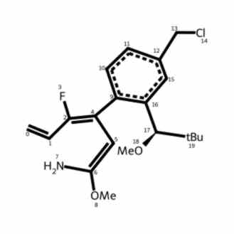 C=C/C(F)=C(\C=C(/N)OC)c1ccc(CCl)cc1[C@H](OC)C(C)(C)C